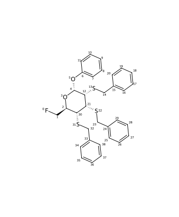 FC[C@H]1O[C@H](Oc2ccccc2)[C@H](SCc2ccccc2)[C@H](SCc2ccccc2)[C@@H]1SCc1ccccc1